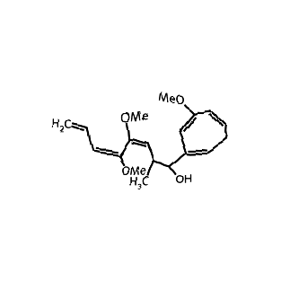 C=C/C=C(OC)\C(=C/C(C)C(O)C1=CCC=CC(OC)=C1)OC